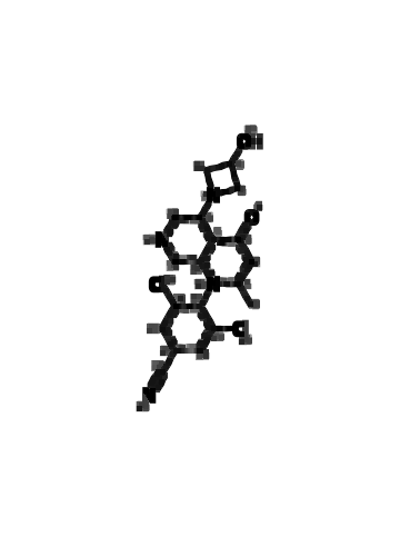 Cc1cc(=O)c2c(N3CC(O)C3)cncc2n1-c1c(Cl)cc(C#N)cc1Cl